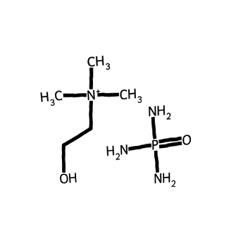 C[N+](C)(C)CCO.NP(N)(N)=O